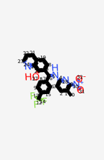 Cc1ccc(NC(c2ccc(C(F)(F)F)cc2)c2ccc3cccnc3c2O)nc1[N+](=O)[O-]